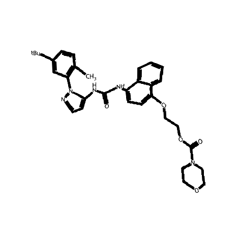 Cc1ccc(C(C)(C)C)cc1-n1nccc1NC(=O)Nc1ccc(OCCOC(=O)N2CCOCC2)c2ccccc12